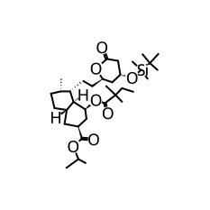 CCC(C)(C)C(=O)O[C@H]1C[C@@H](C(=O)OC(C)C)C[C@@H]2CC[C@H](C)[C@H](CC[C@@H]3C[C@@H](O[Si](C)(C)C(C)(C)C)CC(=O)O3)[C@H]21